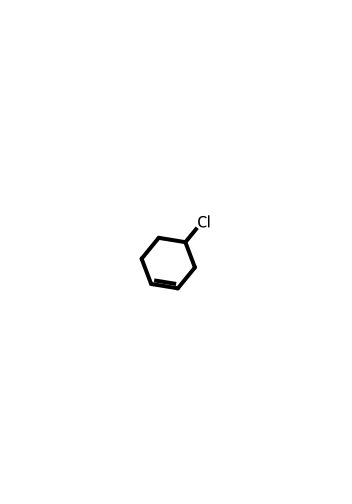 ClC1CC=CCC1